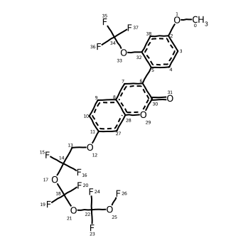 COc1ccc(-c2cc3ccc(OCC(F)(F)OC(F)(F)OC(F)(F)OF)cc3oc2=O)c(OC(F)(F)F)c1